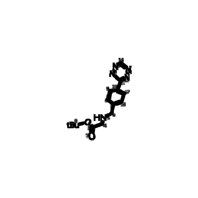 CC(C)(C)OC(=O)CNCc1ccc(-c2nncnn2)cc1